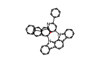 c1ccc(-c2cccc(-n3c4ccccc4c4ccc5c6ccccc6n(-c6cc(-c7ccccc7)nc(-c7ccccc7)c6)c5c43)c2)cc1